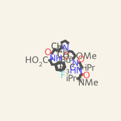 CC[C@H](C)C(C(CC(=O)N1CCC[C@H]1[C@H](C)[C@@H](C)C(=O)NC(Cc1cccc(F)c1)C(=O)O)OC)N(C)C(=O)[C@@H](NC(=O)[C@@H](NC)C(C)C)C(C)C